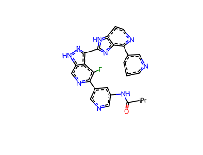 CC(C)C(=O)Nc1cncc(-c2ncc3[nH]nc(-c4nc5c(-c6cccnc6)nccc5[nH]4)c3c2F)c1